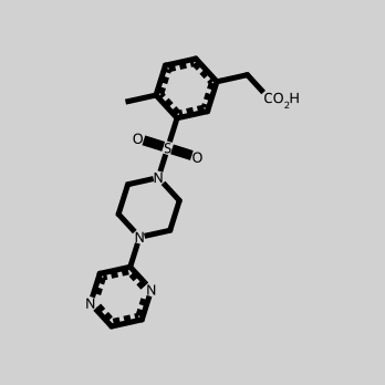 Cc1ccc(CC(=O)O)cc1S(=O)(=O)N1CCN(c2cnccn2)CC1